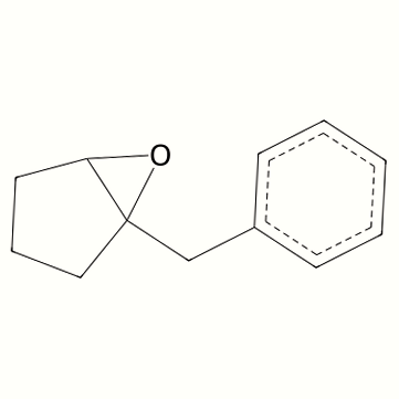 c1ccc(CC23CCCC2O3)cc1